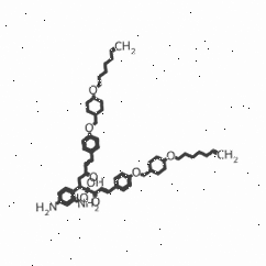 C=CCCCCCOC1CCC(COc2ccc(/C=C/C(=O)CC(c3ccc(N)cc3N)C(O)(O)C(=O)/C=C/c3ccc(OCC4CCC(OCCCCCC=C)CC4)cc3)cc2)CC1